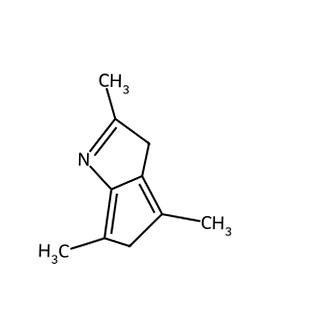 CC1=NC2=C(C)CC(C)=C2C1